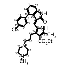 CCOC(=O)c1c(C)[nH]c(C=C2C(=O)Nc3cccc(-c4ccc(Cl)cc4)c32)c1CCCN1CCN(C)CC1